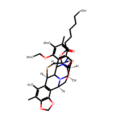 CCCCCCCCCCCCCCCC(=O)O[C@H]1CS[C@@H]2c3c(OC(C)=O)c(C)c4c(c3[C@H](COC1=O)N1C2[C@H]2c3c(cc(C)c(OC)c3OCOC)C[C@@H]([C@@H]1C#N)N2C)OCO4